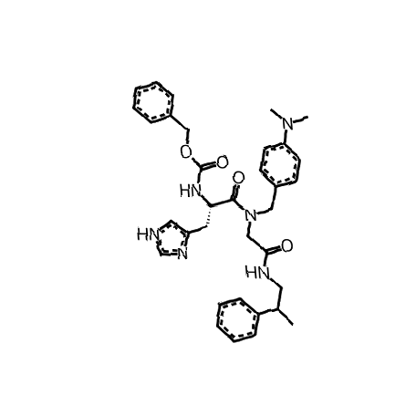 CC(CNC(=O)CN(Cc1ccc(N(C)C)cc1)C(=O)[C@H](Cc1c[nH]cn1)NC(=O)OCc1ccccc1)c1ccccc1